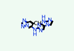 Cc1cc2ncnn2cc1Nc1ncc2c(n1)[nH]c1nccn12